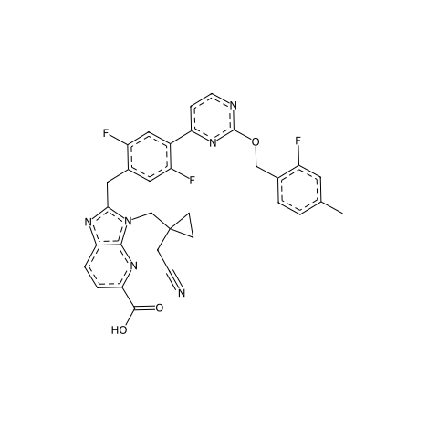 Cc1ccc(COc2nccc(-c3cc(F)c(Cc4nc5ccc(C(=O)O)nc5n4CC4(CC#N)CC4)cc3F)n2)c(F)c1